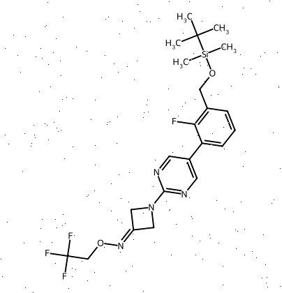 CC(C)(C)[Si](C)(C)OCc1cccc(-c2cnc(N3CC(=NOCC(F)(F)F)C3)nc2)c1F